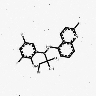 COc1c(F)cc(F)cc1C(Nc1cccc2nc(C)ccc12)C(O)(CBr)C(F)(F)F